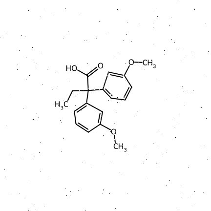 CCC(C(=O)O)(c1cccc(OC)c1)c1cccc(OC)c1